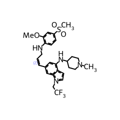 COc1cc(S(C)(=O)=O)ccc1NC/C=C\c1cc(NC2CCN(C)CC2)c2ccn(CC(F)(F)F)c2c1